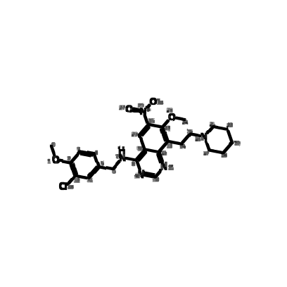 COc1ccc(CNc2ncnc3c(CCN4CCCCC4)c(OC)c([N+](=O)[O-])cc23)cc1Cl